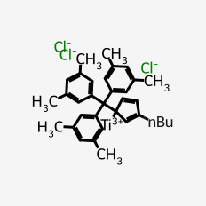 CCCCC1=C[C]([Ti+3])(C(c2cc(C)cc(C)c2)(c2cc(C)cc(C)c2)c2cc(C)cc(C)c2)C=C1.[Cl-].[Cl-].[Cl-]